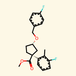 COC(=O)[C@@]1(c2cccc(F)c2C)CC[C@H](OCc2ccc(F)cc2)C1